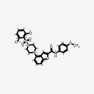 COc1ccc(NC(=O)c2cc3c(N4CCN(S(=O)(=O)c5c(Cl)cccc5Cl)CC4)cccc3o2)cc1